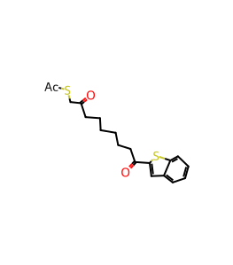 CC(=O)SCC(=O)CCCCCCC(=O)c1cc2ccccc2s1